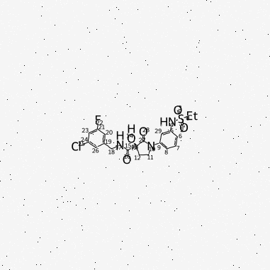 CCS(=O)(=O)Nc1cccc(N2CC[C@](O)(C(=O)NCc3cc(F)cc(Cl)c3)C2=O)c1